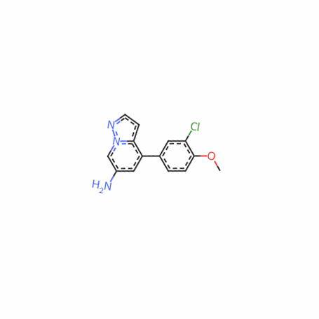 COc1ccc(-c2cc(N)cn3nccc23)cc1Cl